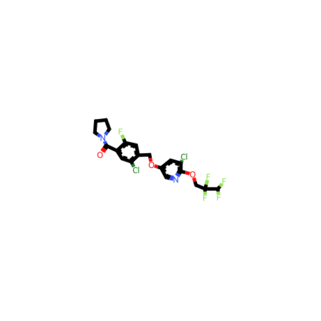 O=C(c1cc(Cl)c(COc2cnc(OCC(F)(F)C(F)F)c(Cl)c2)cc1F)N1CCCC1